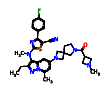 CCc1nn2c(C)cc(N3CC4(CCN(C(=O)C5CN(C)C5)C4)C3)cc2c1N(C)c1nc(-c2ccc(F)cc2)c(C#N)s1